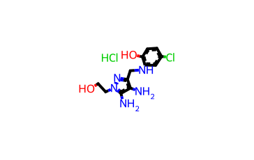 Cl.Nc1c(CNc2cc(Cl)ccc2O)nn(CCO)c1N